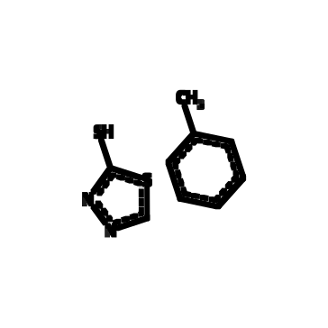 Cc1ccccc1.Sc1nncs1